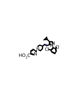 O=C(O)c1ccc(N2CCC(/C=C/c3c(C4CC4)cnn3-c3c(Cl)cccc3Cl)CC2)nc1